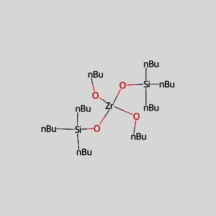 CCCC[O][Zr]([O]CCCC)([O][Si](CCCC)(CCCC)CCCC)[O][Si](CCCC)(CCCC)CCCC